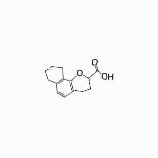 O=C(O)C1CCc2ccc3c(c2O1)CCCC3